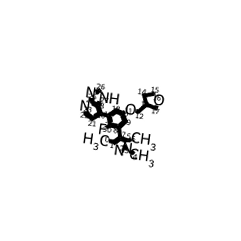 Cc1nn(C)c(C)c1-c1cc(OCC2CCOC2)cc(-c2ccnc3nc[nH]c23)c1F